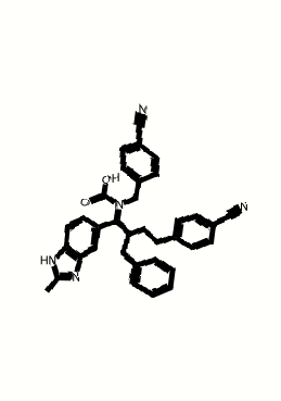 Cc1nc2cc(C(C(CCc3ccc(C#N)cc3)Cc3ccccc3)N(Cc3ccc(C#N)cc3)C(=O)O)ccc2[nH]1